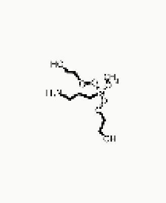 CO[Si](CCCN)(OOCCO)OOCCO